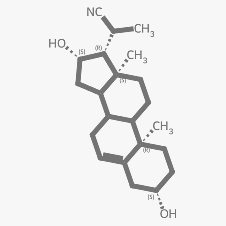 CC(C#N)[C@H]1[C@@H](O)CC2C3CC=C4C[C@@H](O)CC[C@]4(C)C3CC[C@@]21C